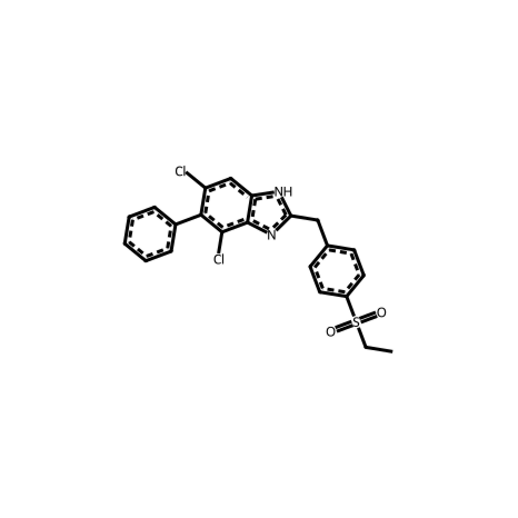 CCS(=O)(=O)c1ccc(Cc2nc3c(Cl)c(-c4ccccc4)c(Cl)cc3[nH]2)cc1